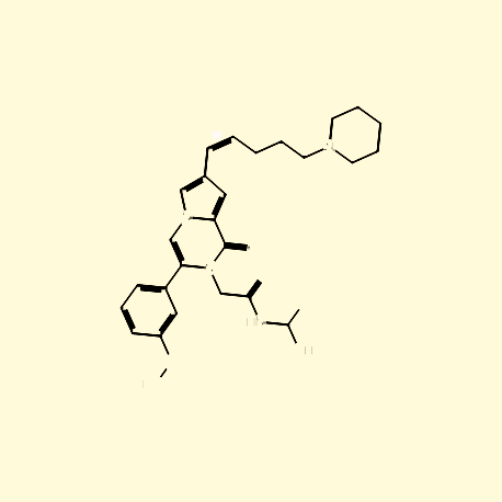 COc1cccc(-c2cn3cc(/C=C\CCCN4CCCCC4)cc3c(=O)n2CC(=O)NC(C)C)c1